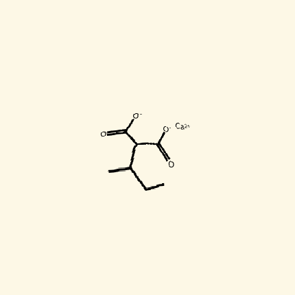 CCC(C)C(C(=O)[O-])C(=O)[O-].[Ca+2]